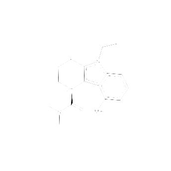 CCN(CC)C(=O)[C@H]1CCCc2c1c1c(OC)cccc1n2CI